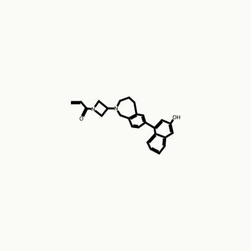 C=CC(=O)N1CC(N2CCCc3cc(-c4cc(O)cc5ccccc45)ccc3C2)C1